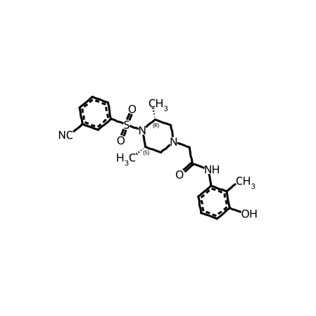 Cc1c(O)cccc1NC(=O)CN1C[C@@H](C)N(S(=O)(=O)c2cccc(C#N)c2)[C@@H](C)C1